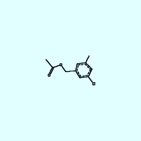 CC(=O)OCc1cc(C)cc(Cl)c1